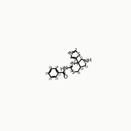 O=C(NC1=NC2(c3cncs3)CNCC2CS1)c1ccccc1